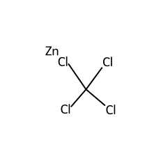 ClC(Cl)(Cl)Cl.[Zn]